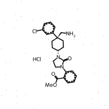 COC(=O)c1ccccc1N1CCN([C@H]2CC[C@@](CN)(c3cccc(Cl)c3)CC2)C1=O.Cl